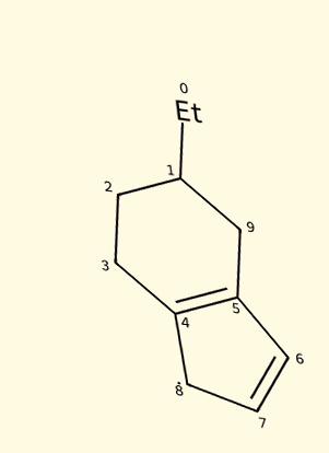 CCC1CCC2=C(C=C[CH]2)C1